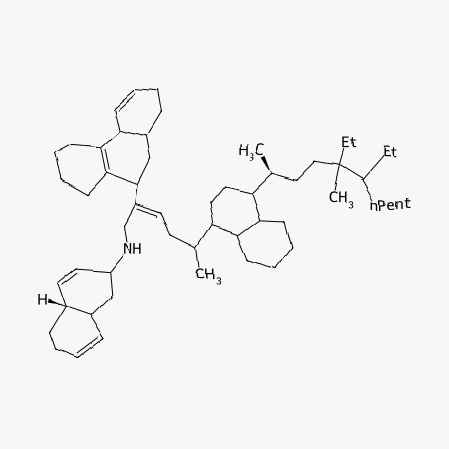 CCCCCC(CC)C(C)(CC)CC[C@H](C)C1CCC(C(C)C/C=C(\CNC2C=C[C@H]3CCC=CC3C2)C2CC3CCC=CC3C3=C2CCCC3)C2CCCCC21